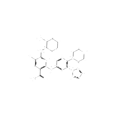 NC(=O)c1cc(F)c(N[C@@H]2CCCC[C@@H]2N)nc1Nc1cnc(N2CCOCC2)c(-n2nccn2)c1